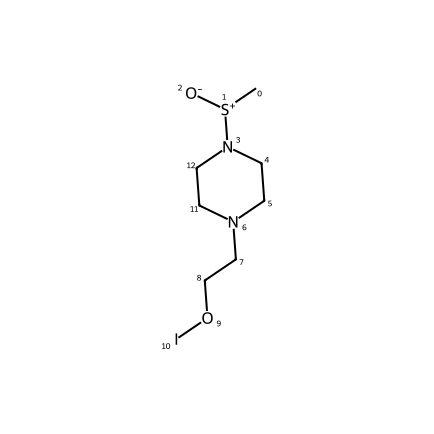 C[S+]([O-])N1CCN(CCOI)CC1